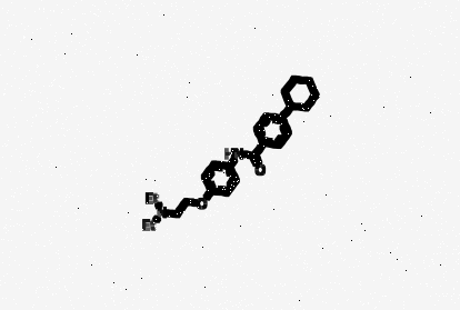 CCN(CC)CCOc1ccc(NC(=O)c2ccc(C3CCCCC3)cc2)cc1